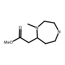 COC(=O)CC1CC[N]CCN1C